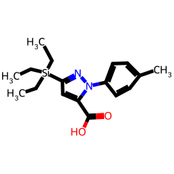 CC[Si](CC)(CC)c1cc(C(=O)O)n(-c2ccc(C)cc2)n1